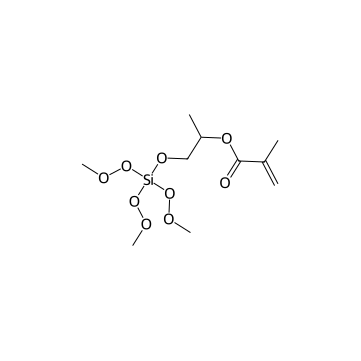 C=C(C)C(=O)OC(C)CO[Si](OOC)(OOC)OOC